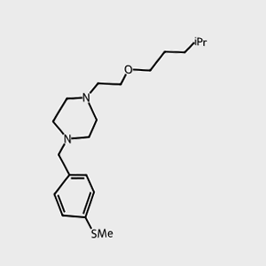 CSc1ccc(CN2CCN(CCOCCCC(C)C)CC2)cc1